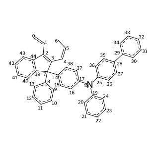 C=CC1=C(/C=C\C)C(c2ccccc2)(c2ccc(N(c3ccccc3)c3ccc(-c4ccccc4)cc3)cc2)c2ccccc21